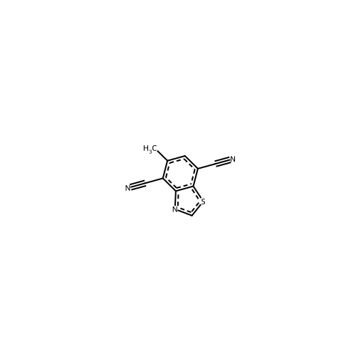 Cc1cc(C#N)c2scnc2c1C#N